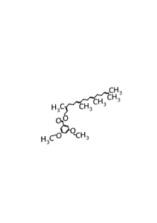 CCOc1cc(OCC)cc(C(=O)OC/C=C(\C)CC/C=C(\C)CC/C=C(\C)CCC=C(C)C)c1